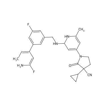 C/C=C(\C=C(/N)F)c1cc(F)cc(CNC2C=C(N3CCC(C#N)(C4CC4)C3=O)C=C(C)N2)c1